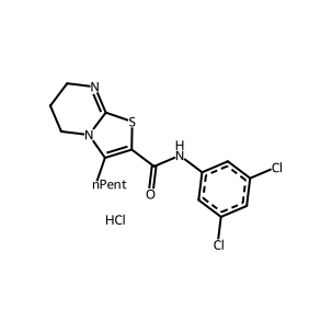 CCCCCC1=C(C(=O)Nc2cc(Cl)cc(Cl)c2)SC2=NCCCN21.Cl